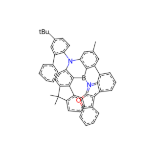 Cc1cc2c3c(c1)N(c1ccc(C(C)(C)C)cc1-c1ccccc1)c1ccc4c(c1B3n1c3oc5ccccc5c3c3cccc-2c31)-c1ccccc1C4(C)C